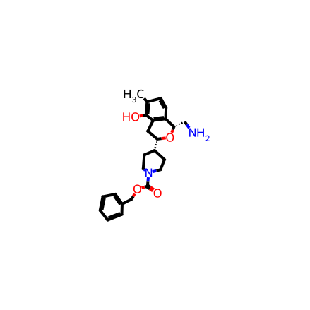 Cc1ccc2c(c1O)C[C@@H](C1CCN(C(=O)OCc3ccccc3)CC1)O[C@H]2CN